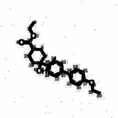 CCOC(=O)C1CCC(O)(c2ccc(-c3ccc(OCC)cc3)cc2)CC1